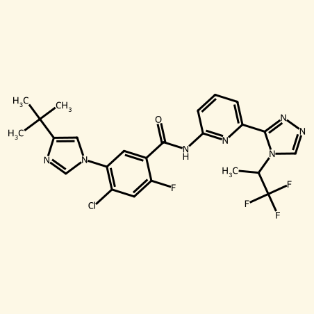 CC(n1cnnc1-c1cccc(NC(=O)c2cc(-n3cnc(C(C)(C)C)c3)c(Cl)cc2F)n1)C(F)(F)F